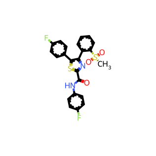 CS(=O)(=O)c1ccccc1-c1nc(C(=O)Nc2ccc(F)cc2)sc1-c1ccc(F)cc1